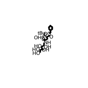 CC(C)(C)ON(C=O)C(CC(=O)NCC(O)C(O)C(O)C(O)CO)C(=O)OCc1ccccc1